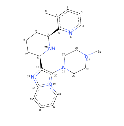 Cc1cccnc1[C@@H]1CCC[C@H](c2nc3ccccn3c2N2CCN(C)CC2)N1